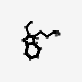 CCc1nc2ccccc2n1CCN